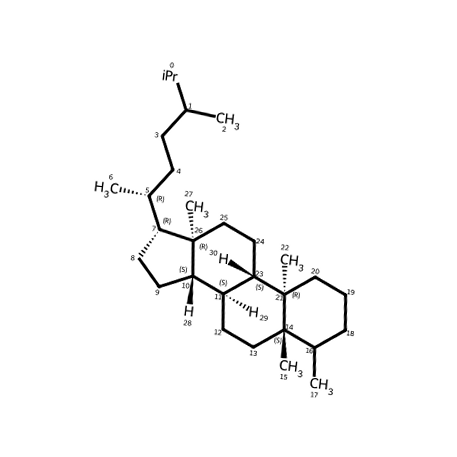 CC(C)C(C)CC[C@@H](C)[C@H]1CC[C@H]2[C@@H]3CC[C@@]4(C)C(C)CCC[C@]4(C)[C@H]3CC[C@]12C